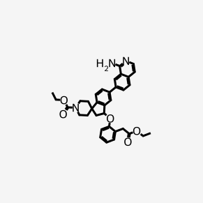 CCOC(=O)Cc1ccccc1OC1CC2(CCN(C(=O)OCC)CC2)c2ccc(-c3ccc4ccnc(N)c4c3)cc21